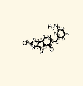 Cn1c2nc(Cl)sc2c2cnn(Cc3cccc(N)n3)c(=O)c21